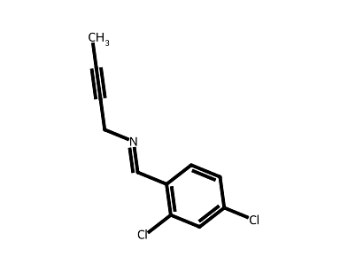 CC#CCN=Cc1ccc(Cl)cc1Cl